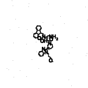 COCCCn1c([C@@H]2CCCN(C(=O)C[C@@H](CN)N(CC3c4ccccc4-c4ccccc43)C(=O)O)C2)nc2ccccc21